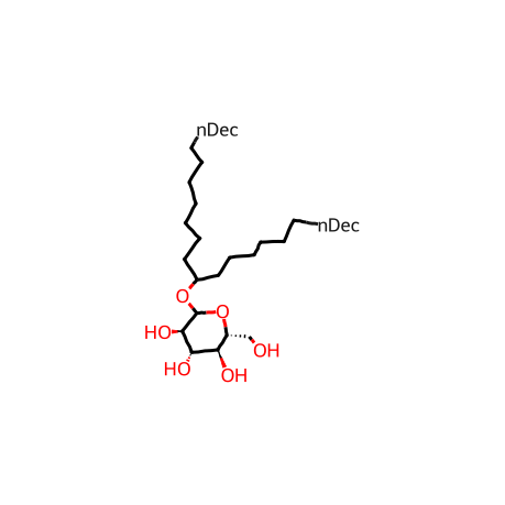 CCCCCCCCCCCCCCCCCC(CCCCCCCCCCCCCCCC)OC1O[C@H](CO)[C@@H](O)[C@H](O)[C@H]1O